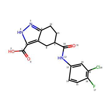 O=C(O)c1[nH]nc2c1CC(C(=O)Nc1ccc(F)c(Cl)c1)CC2